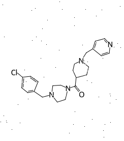 O=C(C1CCN(Cc2ccncc2)CC1)N1CCN(Cc2ccc(Cl)cc2)CC1